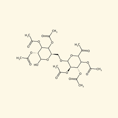 CC(=O)OC1C(OC(C)=O)[C@@H](COC2OC(C(C)=O)C(OC(C)=O)[C@H](OC(C)=O)[C@H]2OC(C)=O)OC(O)[C@@H]1OC(C)=O